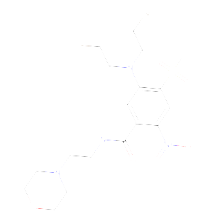 CS(=O)(=O)c1cc([N+](=O)[O-])c(C(=O)NCCN2CCOCC2)cc1N(CCBr)CCBr